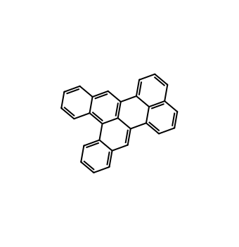 c1ccc2c(c1)cc1c3cccc4cccc(c5cc6ccccc6c2c15)c43